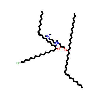 CCCCCCCC/C=C\CCCCCCCC(CCCCCCCCCCCCCC)OCC(C[N+](C)(C)CCCN(C)C)OC(CCCCCCC/C=C\CCCCCCCC)CCCCCCCCCCCCCC.[Br-]